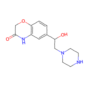 O=C1COc2ccc(C(O)CN3CCNCC3)cc2N1